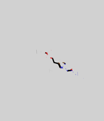 CC(=O)OCCC1=C(C)N(CC(N)=O)CS1